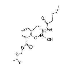 CCCCC(=O)N[C@H]1Cc2cccc(C(=O)OCOC(C)=O)c2OB1O